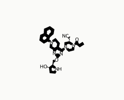 C=CC(=O)N1CCN(c2nc(OC[C@H]3NCC[C@@H]3O)nc3c2CCN(c2cccc4ccccc24)C3)C[C@@H]1CC#N